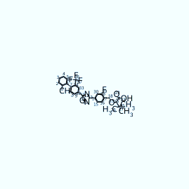 Cc1ccccc1-c1ccc(-c2nc(-c3ccc(COC(C(=O)O)C(C)(C)C)c(F)c3)no2)cc1C(F)(F)F